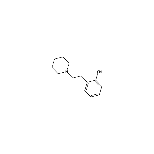 N#Cc1ccccc1CCN1CCCCC1